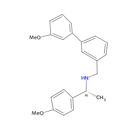 COc1ccc([C@@H](C)NCc2cccc(-c3cccc(OC)c3)c2)cc1